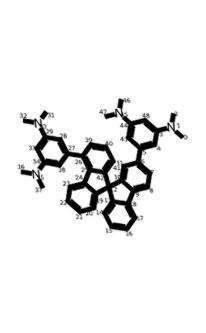 CN(C)c1cc(-c2ccc3c(c2)C2(c4ccccc4-3)c3ccccc3-c3c(-c4cc(N(C)C)cc(N(C)C)c4)cccc32)cc(N(C)C)c1